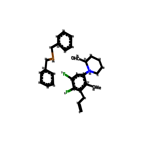 C=CCc1c(F)c(F)cc(N2CCCCC2C=O)c1OC.c1ccc(CSCc2ccccc2)cc1